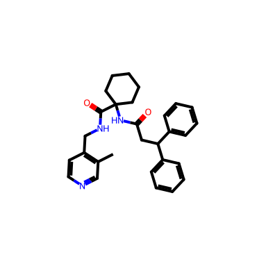 Cc1cnccc1CNC(=O)C1(NC(=O)CC(c2ccccc2)c2ccccc2)CCCCC1